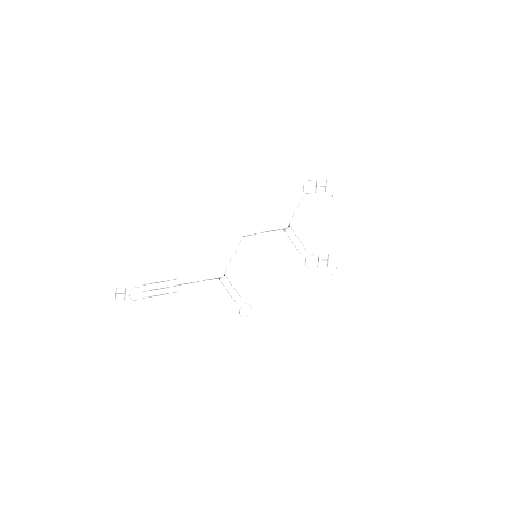 C#CC(=O)CC(=C)C